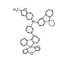 Cc1cc2cc(N(c3cccc(-c4cccc5c4-c4ccccc4C54c5ccccc5Oc5ccccc54)c3)c3ccc4c(c3)-c3ccccc3C43CCCC3)ccc2o1